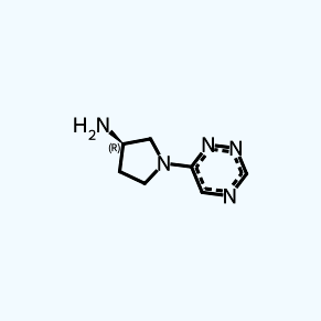 N[C@@H]1CCN(c2cncnn2)C1